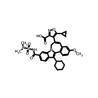 COc1ccc2c(c1)C=C(c1c(C(=O)O)noc1C1CC1)Cn1c-2c(C2CCCCC2)c2ccc(C(=O)NS(=O)(=O)N(C)C)cc21